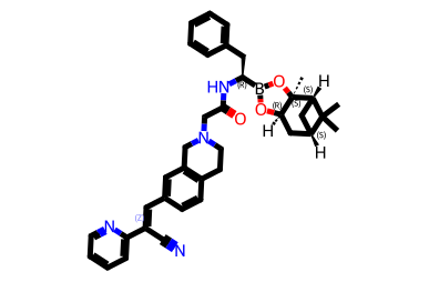 CC1(C)[C@@H]2C[C@H]3OB([C@H](Cc4ccccc4)NC(=O)CN4CCc5ccc(/C=C(\C#N)c6ccccn6)cc5C4)O[C@@]3(C)[C@H]1C2